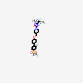 CC(C)(F)c1noc(N2CCC(COC3CCC(c4ccc(S(C)(=O)=O)cc4F)CC3)CC2)n1